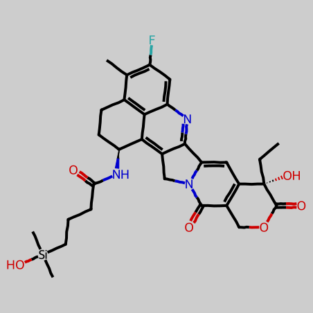 CC[C@@]1(O)C(=O)OCc2c1cc1n(c2=O)Cc2c-1nc1cc(F)c(C)c3c1c2[C@@H](NC(=O)CCC[Si](C)(C)O)CC3